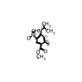 COC(=O)c1cc([N+](=O)[O-])c(NC(C)C)cc1F